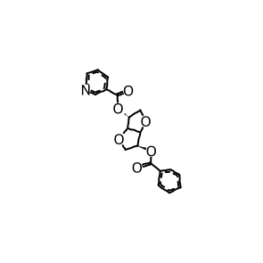 O=C(O[C@H]1COC2C1OC[C@H]2OC(=O)c1cccnc1)c1ccccc1